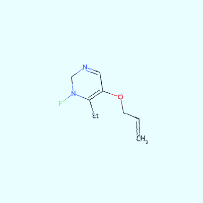 C=CCOC1=C(CC)N(F)CN=C1